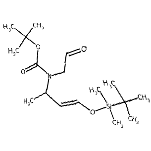 CC(C=CO[Si](C)(C)C(C)(C)C)N(CC=O)C(=O)OC(C)(C)C